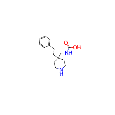 O=C(O)NCC1(CCc2ccccc2)CCNCC1